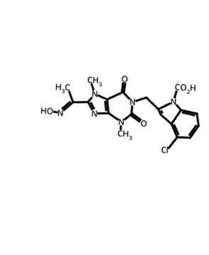 CC(=NO)c1nc2c(c(=O)n(Cc3cc4c(Cl)cccc4n3C(=O)O)c(=O)n2C)n1C